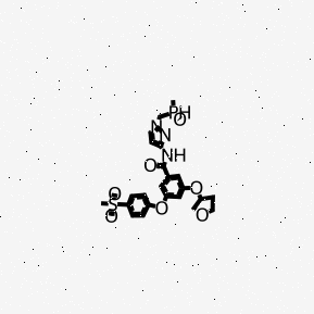 C[PH](=O)Cn1ccc(NC(=O)c2cc(Oc3ccc(S(C)(=O)=O)cc3)cc(OC3CCOC3)c2)n1